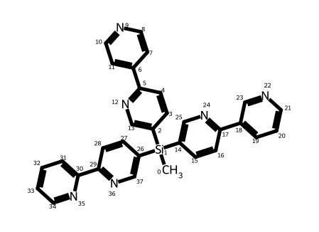 C[Si](c1ccc(-c2ccncc2)nc1)(c1ccc(-c2cccnc2)nc1)c1ccc(-c2ccccn2)nc1